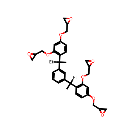 CCC(C)(c1cccc(C(C)(CC)c2ccc(OCC3CO3)cc2OCC2CO2)c1)c1ccc(OCC2CO2)cc1OCC1CO1